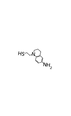 Nc1ccc2c(c1)CCCN2CCS